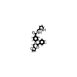 O=C(NCC1CCCN1)c1ccc(N(CC2CCCO2)C(=O)c2cc[c]cc2)cc1